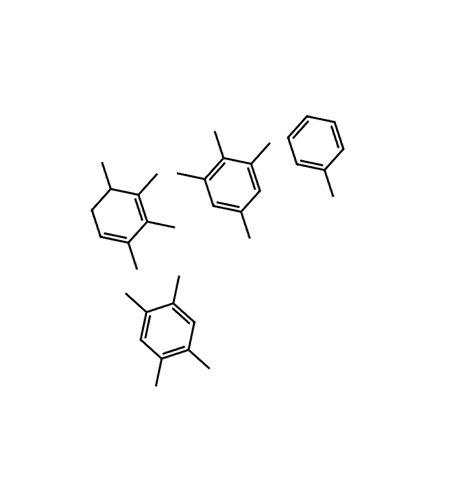 CC1=CCC(C)C(C)=C1C.Cc1cc(C)c(C)c(C)c1.Cc1cc(C)c(C)cc1C.Cc1ccccc1